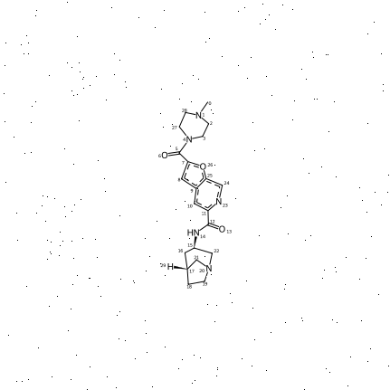 CN1CCN(C(=O)c2cc3cc(C(=O)N[C@@H]4C[C@H]5CCN(C5)C4)ncc3o2)CC1